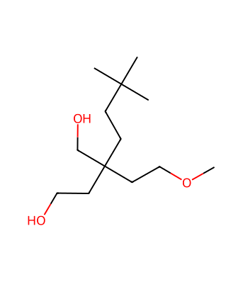 COCCC(CO)(CCO)CCC(C)(C)C